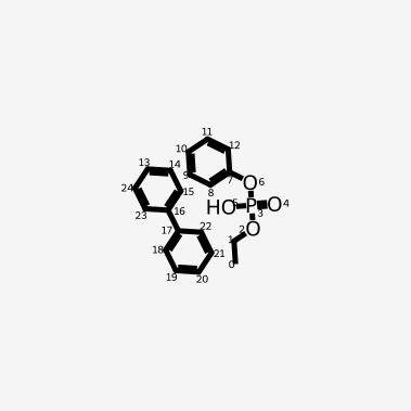 CCOP(=O)(O)Oc1ccccc1.c1ccc(-c2ccccc2)cc1